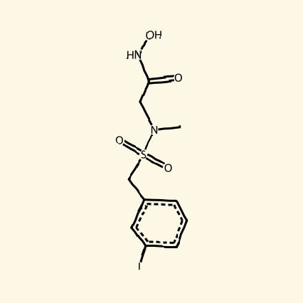 CN(CC(=O)NO)S(=O)(=O)Cc1cccc(I)c1